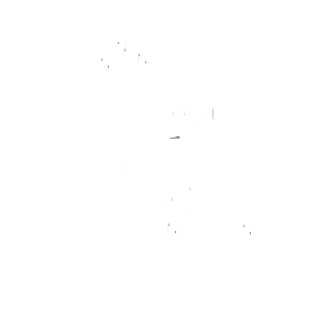 CCn1nnc2c(C)c([C@H](c3cc(CN4C[C@@H](C)Cc5ncccc5S4(=O)=O)c(C)s3)C(C)(C)C(=O)O)ccc21